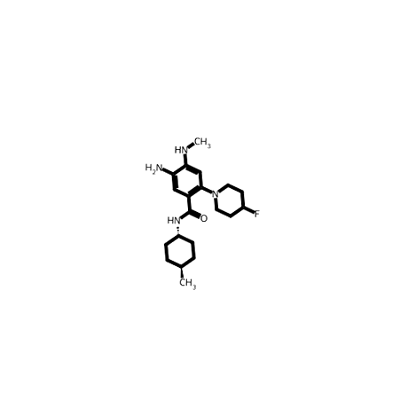 CNc1cc(N2CCC(F)CC2)c(C(=O)N[C@H]2CC[C@H](C)CC2)cc1N